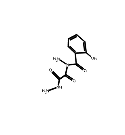 NNC(=O)C(=O)N(N)C(=O)c1ccccc1O